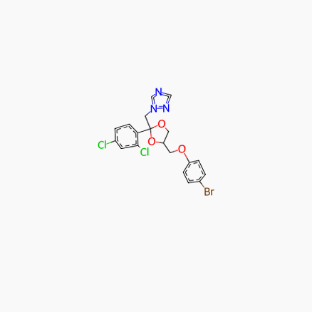 Clc1ccc(C2(Cn3cncn3)OCC(COc3ccc(Br)cc3)O2)c(Cl)c1